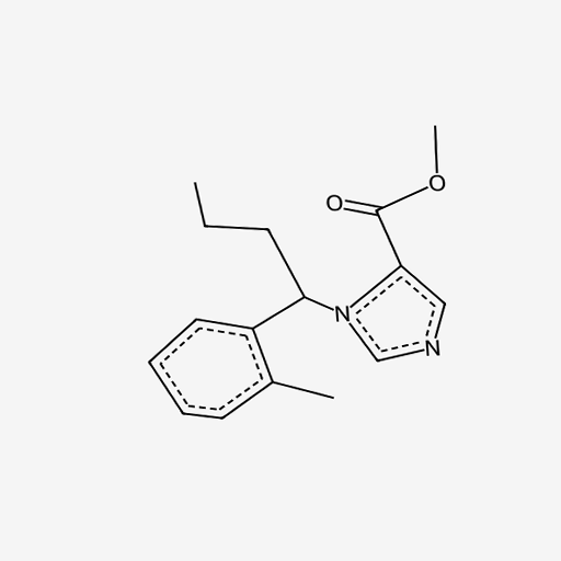 CCCC(c1ccccc1C)n1cncc1C(=O)OC